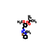 C=C(C)C(=O)Oc1ccc(/C=N/N=c2/sc3ccccc3n2C)cc1OC